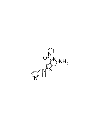 Nc1cc2sc(NCc3cccnc3)cc2c(C(=O)N2CCCC2)n1